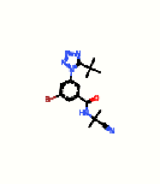 CC(C)(C#N)NC(=O)c1cc(Br)cc(-n2nnnc2C(C)(C)C)c1